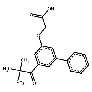 CC(C)(C)C(=O)c1cc(OCC(=O)O)cc(-c2ccccc2)c1